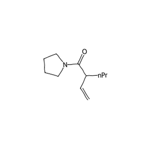 C=CC(CCC)C(=O)N1CCCC1